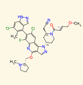 COC/C=C/C(=O)N1CC[C@H](n2ncc3c(OC[C@@H]4CCCN4C)nc4c(F)c(-c5c(C)c(Cl)cc6[nH]ncc56)c(Cl)cc4c32)C[C@H]1CC#N